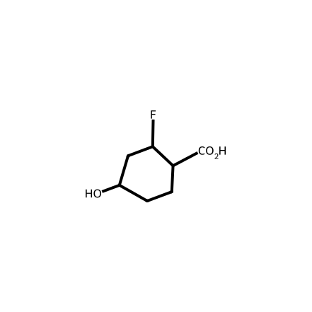 O=C(O)C1CCC(O)CC1F